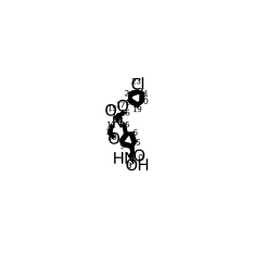 O=C(NO)c1ccc2c(c1)OCCN(C(=O)COc1cccc(Cl)c1)C2